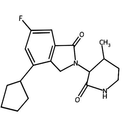 CC1CCNC(=O)C1N1Cc2c(cc(F)cc2C2CCCC2)C1=O